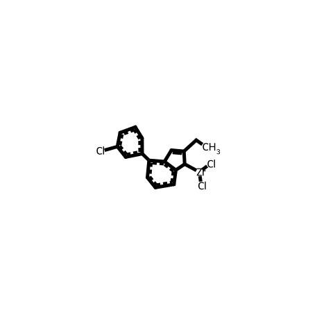 CCC1=Cc2c(-c3cccc(Cl)c3)cccc2[CH]1[Zr]([Cl])[Cl]